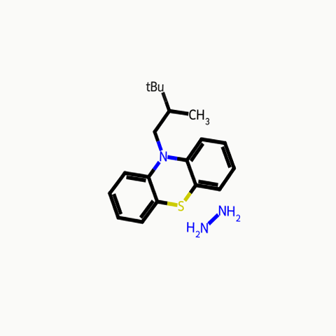 CC(CN1c2ccccc2Sc2ccccc21)C(C)(C)C.NN